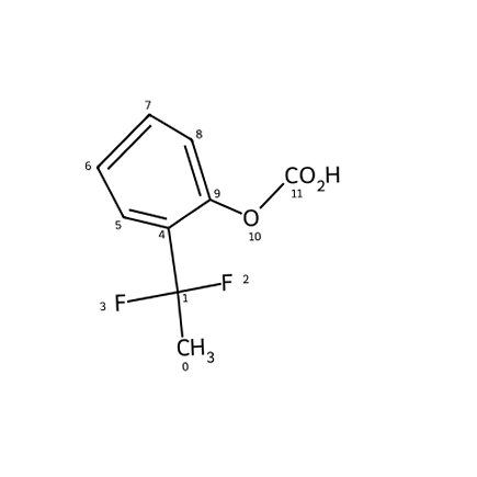 CC(F)(F)c1ccccc1OC(=O)O